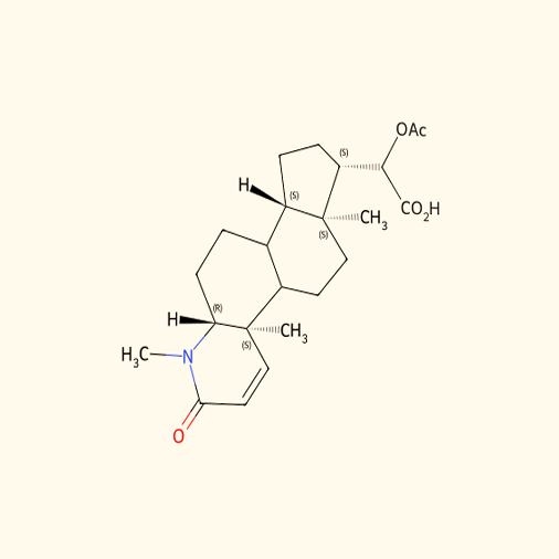 CC(=O)OC(C(=O)O)[C@H]1CC[C@H]2C3CC[C@H]4N(C)C(=O)C=C[C@]4(C)C3CC[C@]12C